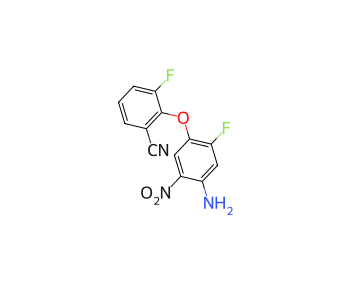 N#Cc1cccc(F)c1Oc1cc([N+](=O)[O-])c(N)cc1F